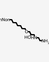 CCCCCCCCCCCCCCCCOCC(O)CNCCN